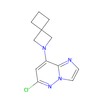 Clc1cc(N2CC3(CCC3)C2)c2nccn2n1